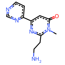 Cn1c(CCN)nc(-c2ccncn2)cc1=O